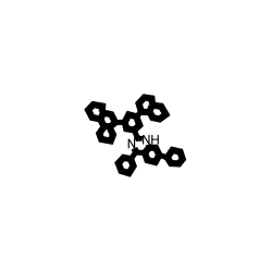 c1ccc(C2=NC(c3cc(-c4cccc5ccccc45)cc(-c4cc5ccccc5c5ccccc45)c3)Nc3cc(-c4ccccc4)ccc32)cc1